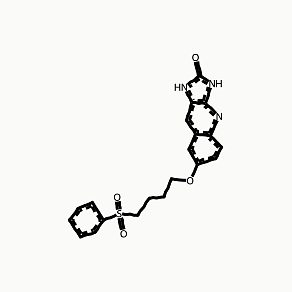 O=c1[nH]c2cc3cc(OCCCCS(=O)(=O)c4ccccc4)ccc3nc2[nH]1